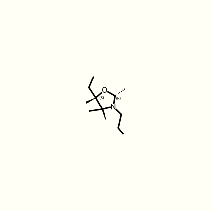 CCCN1[C@@H](C)O[C@@](C)(CC)C1(C)C